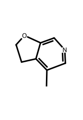 Cc1cncc2c1CCO2